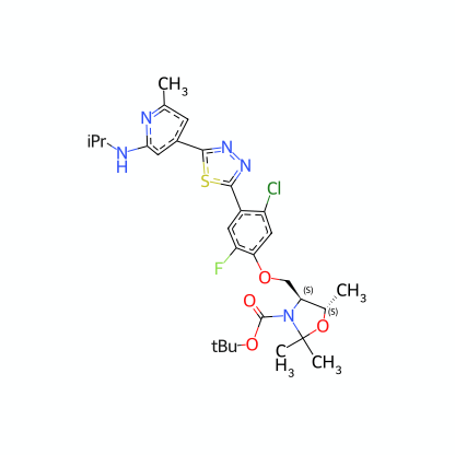 Cc1cc(-c2nnc(-c3cc(F)c(OC[C@H]4[C@H](C)OC(C)(C)N4C(=O)OC(C)(C)C)cc3Cl)s2)cc(NC(C)C)n1